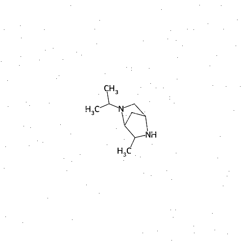 CC1NC2CC1N(C(C)C)C2